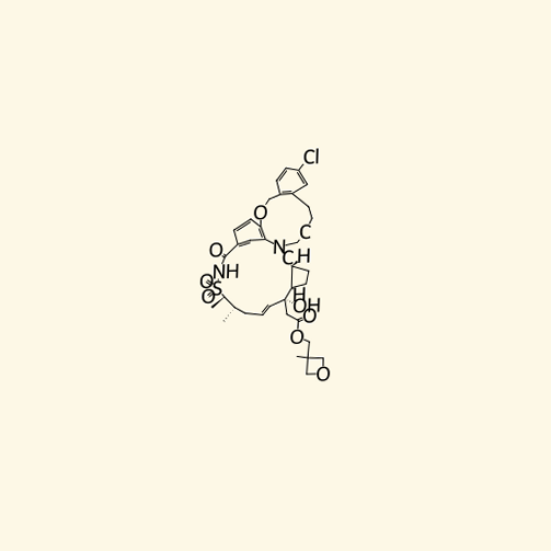 C[C@@H]1[C@@H](C)C/C=C/[C@](O)(CC(=O)OCC2(C)COC2)[C@@H]2CC[C@H]2CN2CCCCc3cc(Cl)ccc3COc3ccc(cc32)C(=O)NS1(=O)=O